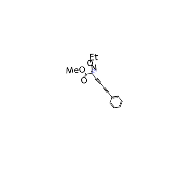 CCO/N=C(/C#CC#Cc1ccccc1)C(=O)OC